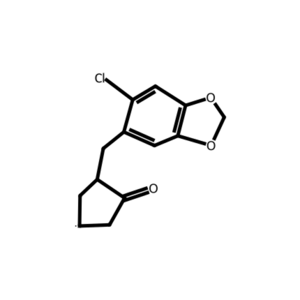 O=C1C[CH]CC1Cc1cc2c(cc1Cl)OCO2